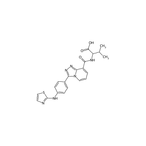 CC(C)C(NC(=O)c1cccn2c(-c3ccc(Nc4nccs4)cc3)nnc12)C(=O)O